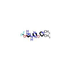 C[C@H]1C[C@H](Oc2cncc(Nc3cc(OC(F)F)[nH]n3)n2)CCN1C